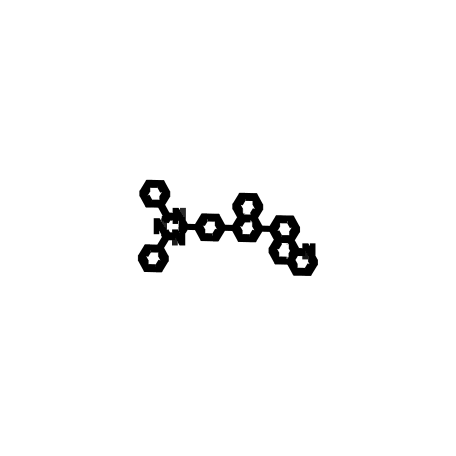 c1ccc(-c2nc(-c3ccccc3)nc(-c3ccc(-c4ccc(-c5cccc6c5ccc5cccnc56)c5ccccc45)cc3)n2)cc1